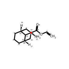 C=COC(=O)N1C[C@H]2CCC[C@@H](C1)C2CN